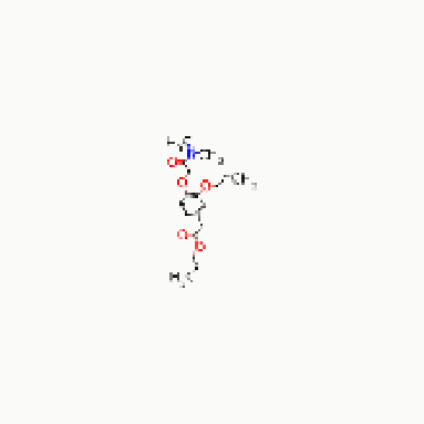 CCCOC(=O)Cc1ccc(OCC(=O)N(C)C)c(OCCC)c1